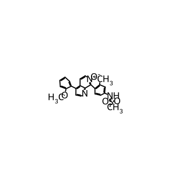 COc1ccccc1-c1ccnc2c(-c3ccc(NS(C)(=O)=O)cc3C)[n+]([O-])ccc12